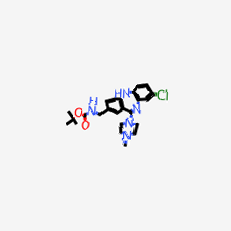 CN1CCN(C2=Nc3cc(Cl)ccc3Nc3ccc(CNC(=O)OC(C)(C)C)cc32)CC1